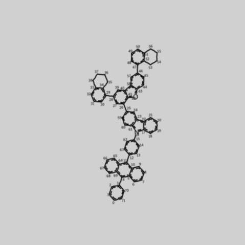 c1ccc(-c2c3ccccc3c(-c3ccc(-n4c5ccccc5c5cc(-c6cc(-c7cccc8c7CCCC8)cc7c6oc6ccc(-c8cccc9c8CCCC9)cc67)ccc54)cc3)c3ccccc23)cc1